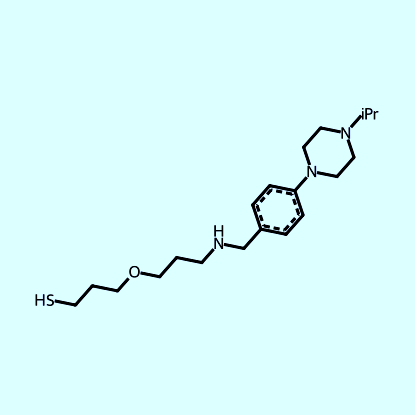 CC(C)N1CCN(c2ccc(CNCCCOCCCS)cc2)CC1